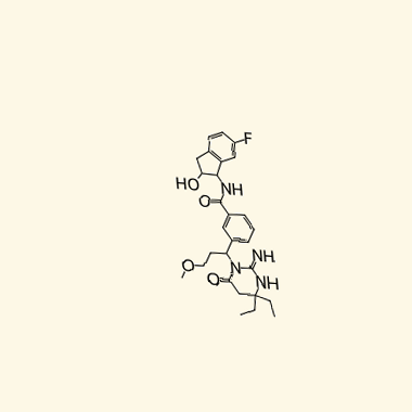 CCC1(CC)CC(=O)N(C(CCOC)c2cccc(C(=O)NC3c4cc(F)ccc4CC3O)c2)C(=N)N1